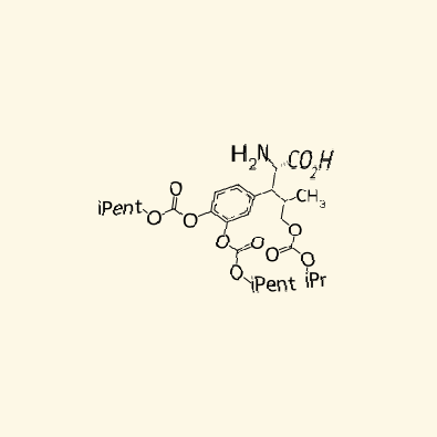 CCCC(C)OC(=O)Oc1ccc(C(C(C)COC(=O)OC(C)C)[C@H](N)C(=O)O)cc1OC(=O)OC(C)CCC